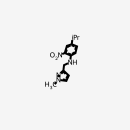 CC(C)c1ccc(NCc2ccn(C)n2)c([N+](=O)[O-])c1